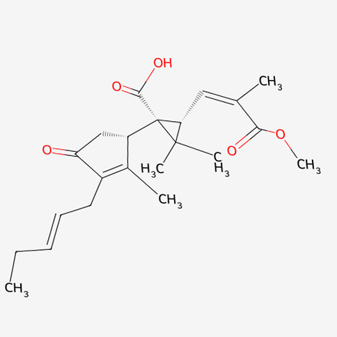 CCC=CCC1=C(C)[C@@H]([C@@]2(C(=O)O)[C@H](C=C(C)C(=O)OC)C2(C)C)CC1=O